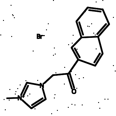 C[n+]1ccn(CC(=O)c2ccc3ccccc3c2)c1.[Br-]